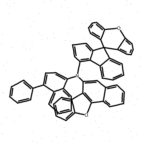 c1ccc(-c2ccc(N(c3cccc4c3-c3ccccc3C43c4ccccc4Oc4ccccc43)c3cc4ccccc4c4oc5ccccc5c34)c3ccccc23)cc1